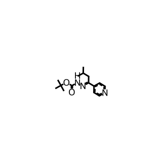 CC(C)CC(=NNC(=O)OC(C)(C)C)c1ccncc1